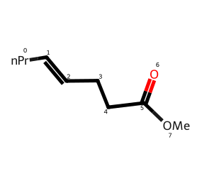 [CH2]CCC=CCCC(=O)OC